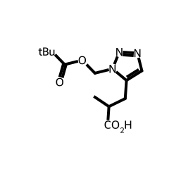 CC(Cc1cnnn1COC(=O)C(C)(C)C)C(=O)O